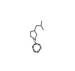 CC(C)CC1CCN(c2ccccc2)C1